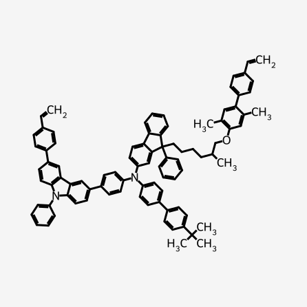 C=Cc1ccc(-c2ccc3c(c2)c2cc(-c4ccc(N(c5ccc(-c6ccc(C(C)(C)C)cc6)cc5)c5ccc6c(c5)C(CCCCC(C)COc5cc(C)c(-c7ccc(C=C)cc7)cc5C)(c5ccccc5)c5ccccc5-6)cc4)ccc2n3-c2ccccc2)cc1